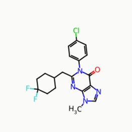 Cn1cnc2c(=O)n(-c3ccc(Cl)cc3)c(CC3CCC(F)(F)CC3)nc21